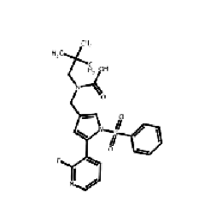 CC(C)(C)CN(Cc1cc(-c2cccnc2F)n(S(=O)(=O)c2ccccc2)c1)C(=O)O